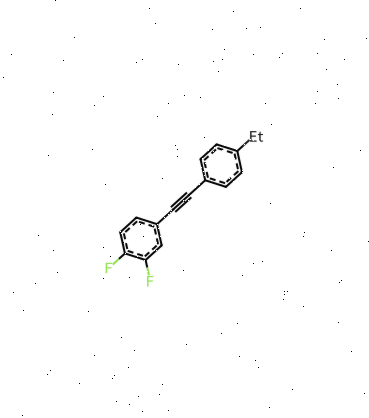 CCc1ccc(C#Cc2ccc(F)c(F)c2)cc1